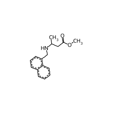 COC(=O)CC(C)NCc1cccc2ccccc12